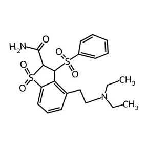 CCN(CC)CCc1cccc2c1C(S(=O)(=O)c1ccccc1)C(C(N)=O)S2(=O)=O